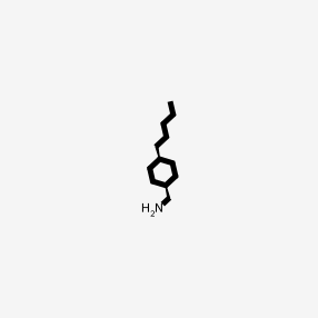 CCCCC[C@H]1CC[C@@H](CN)CC1